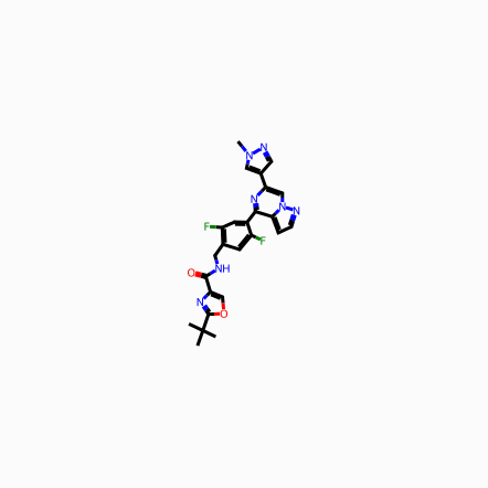 Cn1cc(-c2cn3nccc3c(-c3cc(F)c(CNC(=O)c4coc(C(C)(C)C)n4)cc3F)n2)cn1